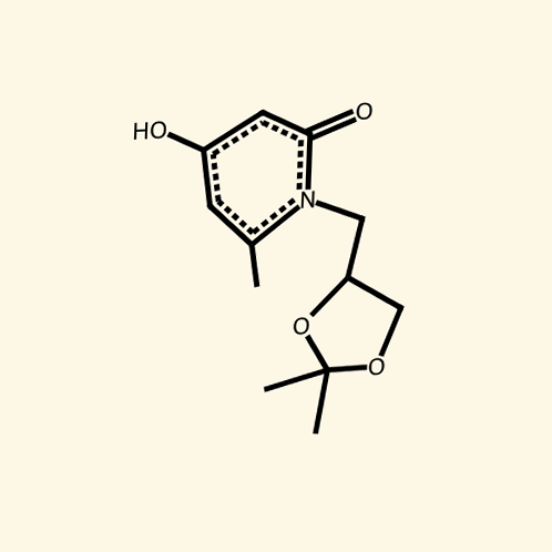 Cc1cc(O)cc(=O)n1CC1COC(C)(C)O1